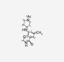 CC(=O)N1CCC(Nc2cc(C)cc3c2OCNC3=O)CC1